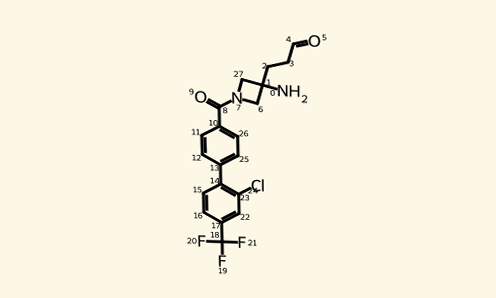 NC1(CCC=O)CN(C(=O)c2ccc(-c3ccc(C(F)(F)F)cc3Cl)cc2)C1